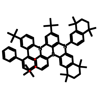 CC(C)(C)c1ccc(N2c3cc(C(C)(C)C)ccc3B3c4cc5c(cc4N(c4ccc6c(c4)C(C)(C)CCC6(C)C)c4cc(C(C)(C)C)cc2c43)C(C)(C)CCC5(C)C)c(-c2ccccc2-c2ccccc2)c1